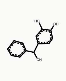 Oc1ccc(C(O)c2ccccc2)cc1O